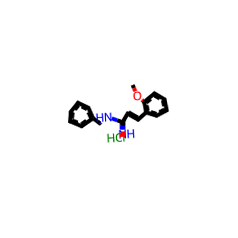 COc1ccccc1/C=C/C(=N)NCc1ccccc1.Cl